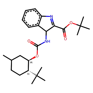 CC1CC[C@@H](C(C)(C)C)[C@H](OC(=O)NC2C(C(=O)OC(C)(C)C)=Nc3ccccc32)C1